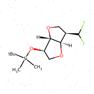 CC(C)(C)[Si](C)(C)O[C@@H]1CO[C@H]2[C@H]1OC[C@H]2C(F)F